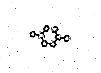 c1ccc(-c2nc(-c3ccccc3)nc(-c3cccc(-c4cccc(-c5cc(-c6ccncc6)nc(-c6cccnc6)c5)n4)c3)n2)cc1